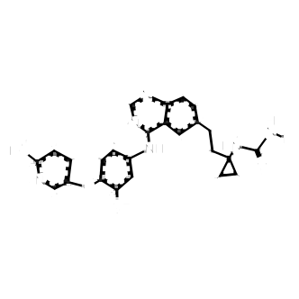 CCNC(=O)NC1(CCc2ccc3ncnc(Nc4ccc(Oc5ccc(C)nc5)c(C)c4)c3c2)CC1